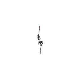 CCCCCCCCCCCOc1ccc(-c2cnc(SCCCCCCCCCC)nc2)cc1